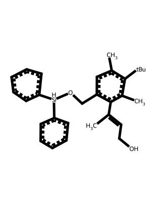 CC(=CCO)c1c(CO[SiH](c2ccccc2)c2ccccc2)cc(C)c(C(C)(C)C)c1C